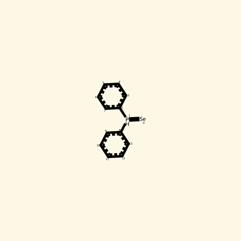 [Se]=[PH](c1ccccc1)c1ccccc1